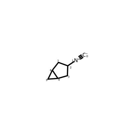 [C-]#[N+]C1CC2CC2C1